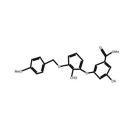 COC(=O)c1cc(C#N)cc(Oc2cccc(OCc3ccc(OC)cc3)c2C=O)c1